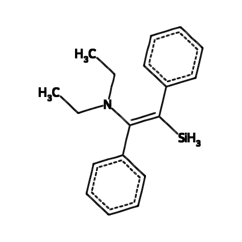 CCN(CC)C(=C([SiH3])c1ccccc1)c1ccccc1